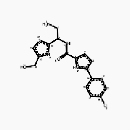 NCC(NC(=O)c1ccc(-c2ccc(Cl)cn2)[nH]1)c1nc(CO)cs1